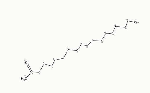 CC(=O)CCCCCCCCCCCCCCCCCl